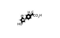 CC(C(=O)O)c1ccc(N2CC(O)CC2=O)cc1